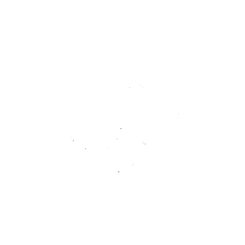 CC(C)c1cnnc(Nc2ccc3ncc(-c4cn(C)nc4C4CN(C(=O)O)C4)cc3n2)c1